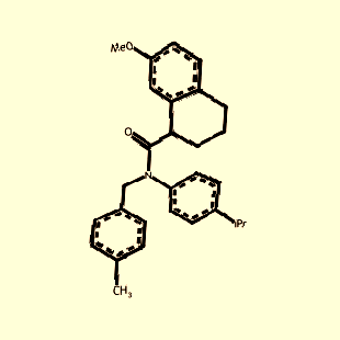 COc1ccc2c(c1)C(C(=O)N(Cc1ccc(C)cc1)c1ccc(C(C)C)cc1)CCC2